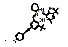 Cc1cc(/C=N/[C@@H]2CCCC[C@H]2/N=C/c2cc(C#Cc3ccc(O)cc3)cc(C(C)(C)C)c2O)c(O)c(C(C)(C)C)c1